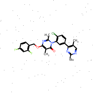 Cc1cnc(C(C)(C)C)nc1-c1ccc(Cl)c(-n2c(C)nc(OCc3ccc(F)cc3F)c(C)c2=O)c1